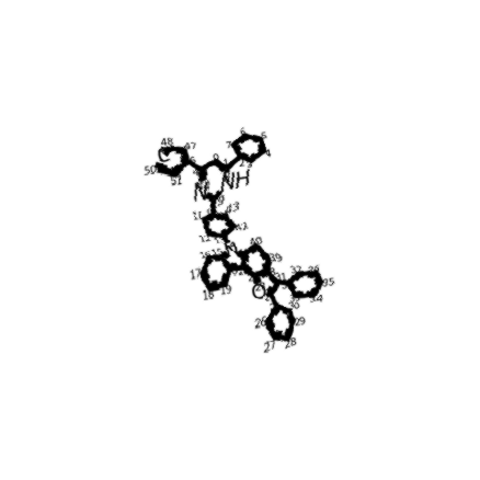 C1=C(c2ccccc2)NC(c2ccc(-n3c4ccccc4c4c5oc(-c6ccccc6)c(-c6ccccc6)c5ccc43)cc2)N=C1c1ccccc1